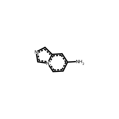 Nc1ccn2cncc2c1